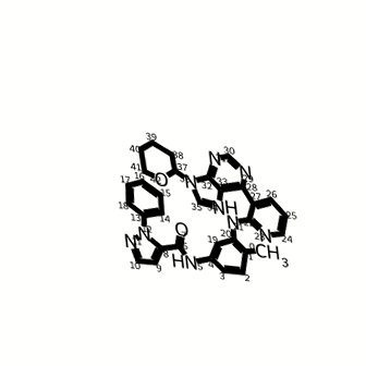 Cc1ccc(NC(=O)c2ccnn2-c2ccccc2)cc1Nc1ncccc1-c1ncnc2c1ncn2C1CCCCO1